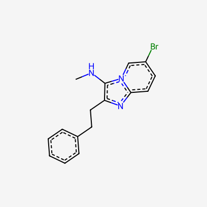 CNc1c(CCc2ccccc2)nc2ccc(Br)cn12